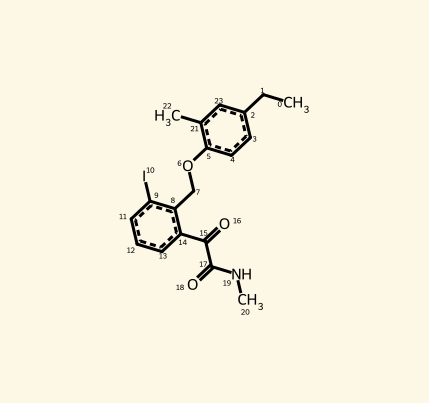 CCc1ccc(OCc2c(I)cccc2C(=O)C(=O)NC)c(C)c1